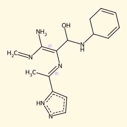 C=N/C(N)=C(\N=C(/C)c1ccn[nH]1)C(O)NC1C=CC=CC1